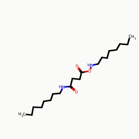 CCCCCCCCNOC(=O)CCC(=O)NCCCCCCCC